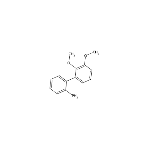 COc1cccc(-c2ccccc2P)c1OC